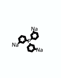 [Na][c]1cccc(P(c2ccc[c]([Na])c2)c2ccc[c]([Na])c2)c1